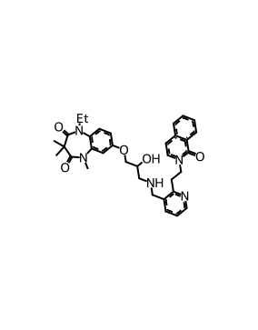 CCN1C(=O)C(C)(C)C(=O)N(C)c2cc(OCC(O)CNCc3cccnc3CCn3ccc4ccccc4c3=O)ccc21